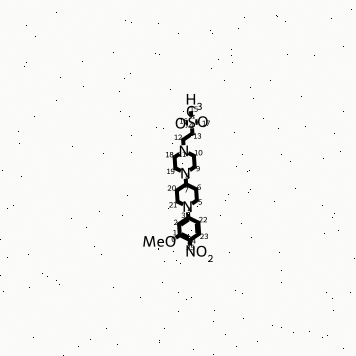 COc1cc(N2CCC(N3CCN(CCS(C)(=O)=O)CC3)CC2)ccc1[N+](=O)[O-]